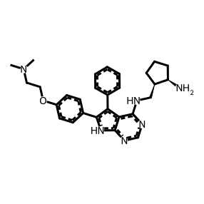 CN(C)CCOc1ccc(-c2[nH]c3ncnc(NC[C@H]4CCC[C@H]4N)c3c2-c2ccccc2)cc1